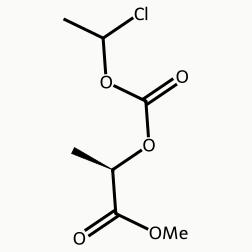 COC(=O)[C@@H](C)OC(=O)OC(C)Cl